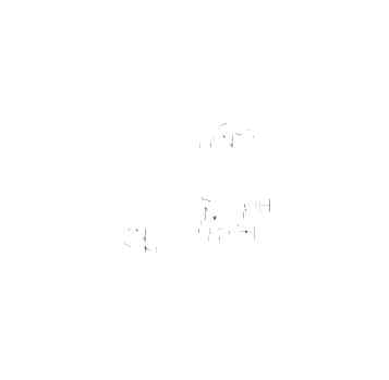 O=C(O)C[C@@H](C(=O)O)N(C(=O)CCCCCN1C(=O)C=CC1=O)C(=O)CCCCCN1C(=O)C=CC1=O